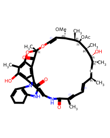 CO[C@H]1/C=C/O[C@@]2(C)Oc3c(C)c(O)c4c(=O)c(c5[nH]c6c(nc-5c4c3C2=O)C=CCC6)NC(=O)/C(C)=C\C=C\[C@H](C)C[C@@H](C)[C@@H](O)[C@@H](C)[C@H](OC(C)=O)[C@@H]1C